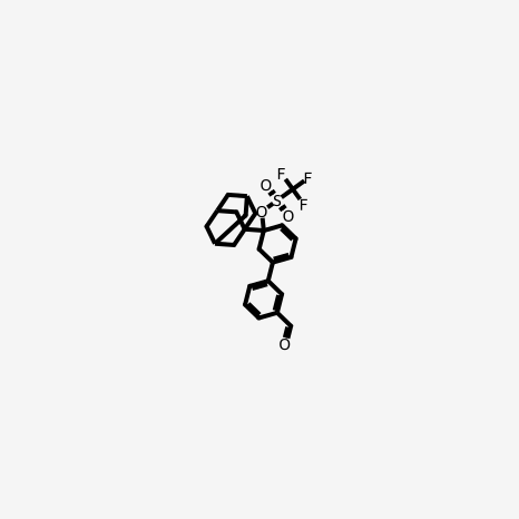 O=Cc1cccc(C2=CC=CC(OS(=O)(=O)C(F)(F)F)(C34CC5CC(CC(C5)C3)C4)C2)c1